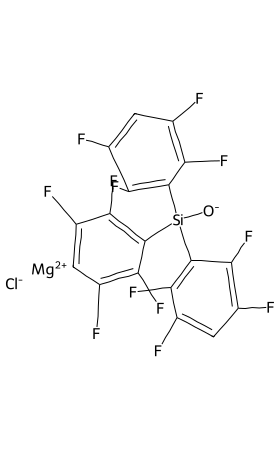 [Cl-].[Mg+2].[O-][Si](c1c(F)c(F)cc(F)c1F)(c1c(F)c(F)cc(F)c1F)c1c(F)c(F)cc(F)c1F